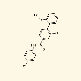 COc1cccnc1-c1ccc(C(=O)Nc2ccc(Cl)nc2)cc1Cl